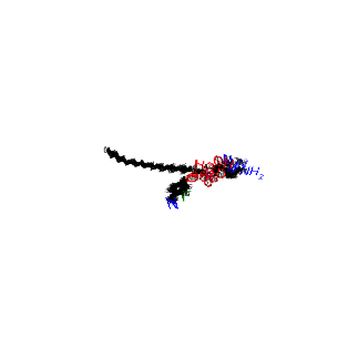 CCCCCCCCCCCCCCCCCCC[C@H](COP(=O)(OC)O[C@H]1O[C@@](C#N)(c2ccc3c(N)ncnn23)[C@H](O)[C@@H]1O)OCc1ccc(C#N)c(F)c1